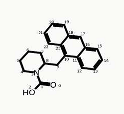 O=C(O)N1CCCCC1Cc1c2ccccc2cc2ccccc12